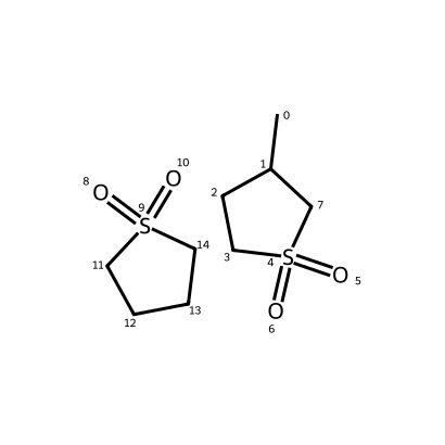 CC1CCS(=O)(=O)C1.O=S1(=O)CCCC1